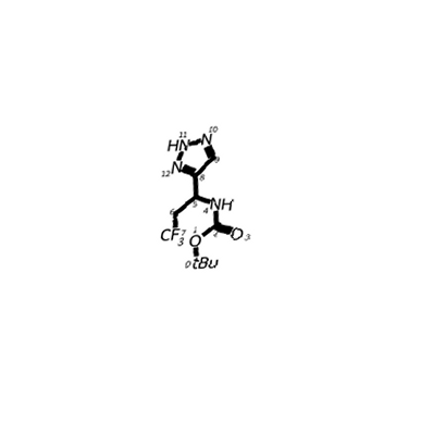 CC(C)(C)OC(=O)NC(CC(F)(F)F)c1cn[nH]n1